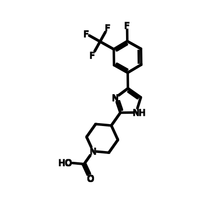 O=C(O)N1CCC(c2nc(-c3ccc(F)c(C(F)(F)F)c3)c[nH]2)CC1